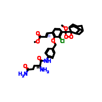 COC(=O)/C=C/c1ccc(C2(OC)OOC23C2CC4CC(C2)CC3C4)c(Cl)c1OCc1ccc(NC(=O)[C@@H](N)CCC(N)=O)cc1